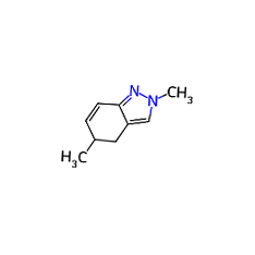 CC1C=Cc2nn(C)cc2C1